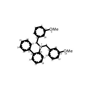 COc1cccc(CN(Cc2cccc(OC)c2)c2ccccc2-c2ccccc2)c1